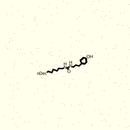 CCCCCCCCCCCCCCCCNC(=O)NCCCc1ccc(O)cc1